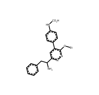 CCOc1nnc(C(N)Cc2ccccc2)cc1-c1ccc(NC(=O)O)cc1